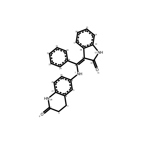 O=C1CCc2cc(NC(=C3C(=O)Nc4ccccc43)c3ccccc3)ccc2N1